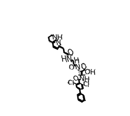 CC(C)(NC(=O)c1c(Cl)cc(-c2ccccc2)cc1Cl)[C@H](CNC(=O)CNC(=O)CCc1ccc2c(n1)NCCC2)C(=O)O